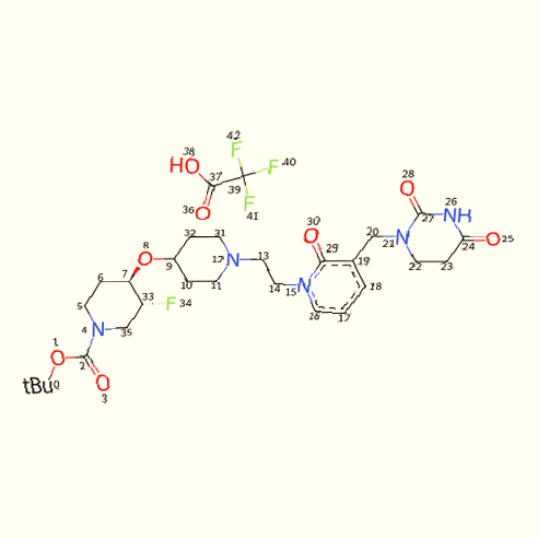 CC(C)(C)OC(=O)N1CC[C@@H](OC2CCN(CCn3cccc(CN4CCC(=O)NC4=O)c3=O)CC2)[C@H](F)C1.O=C(O)C(F)(F)F